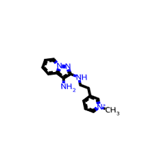 C[n+]1cccc(CCNc2nn3ccccc3c2N)c1